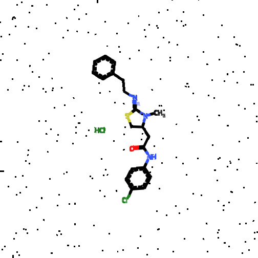 CN1/C(=N/CCc2ccccc2)SCC1CC(=O)Nc1ccc(Cl)cc1.Cl